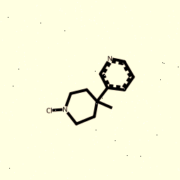 CC1(c2cccnc2)CCN(Cl)CC1